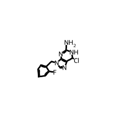 NC1=Nc2c(ncn2Cc2ccccc2F)C(Cl)N1